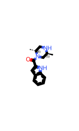 C[C@@H]1CN[C@@H](C)CN1C(=O)c1cc2ccccc2[nH]1